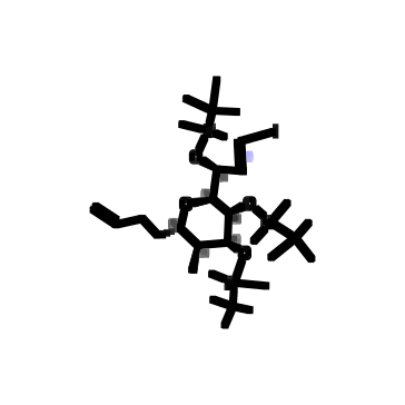 C=CCC[C@@H]1O[C@@H]([C@H](/C=C/I)O[Si](C)(C)C(C)(C)C)[C@@H](O[Si](C)(C)C(C)(C)C)[C@@H](O[Si](C)(C)C(C)(C)C)[C@H]1C